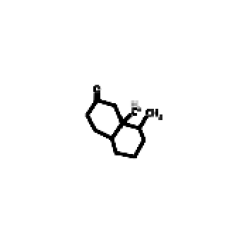 CC1CCCC2CCC(=O)CC12C